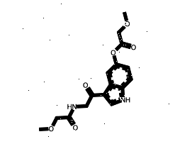 COCC(=O)NCC(=O)c1c[nH]c2ccc(OC(=O)COC)cc12